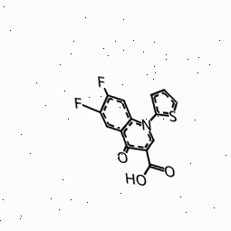 O=C(O)c1cn(-c2cccs2)c2cc(F)c(F)cc2c1=O